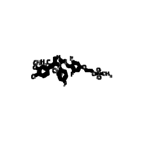 COc1cc(C(C)(C)c2cnc(SCc3c(F)cc(OCCOS(C)(=O)=O)cc3F)n2-c2ccc(F)cc2)ccc1Cl